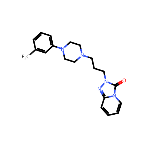 O=c1n(CCCN2CCN(c3cccc(C(F)(F)F)c3)CC2)nc2ccccn12